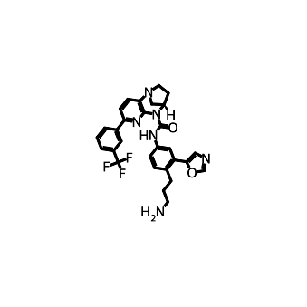 NCCCc1ccc(NC(=O)N2c3nc(-c4cccc(C(F)(F)F)c4)ccc3N3CC[C@H]2C3)cc1-c1cnco1